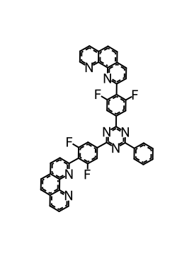 Fc1cc(-c2nc(-c3ccccc3)nc(-c3cc(F)c(-c4ccc5ccc6cccnc6c5n4)c(F)c3)n2)cc(F)c1-c1ccc2ccc3cccnc3c2n1